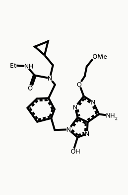 CCNC(=O)N(Cc1cccc(Cn2c(O)nc3c(N)nc(OCCOC)nc32)c1)CC1CC1